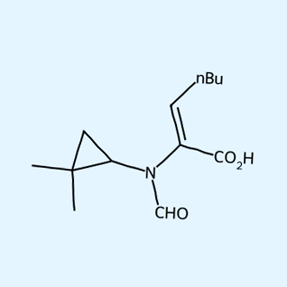 CCCCC=C(C(=O)O)N(C=O)C1CC1(C)C